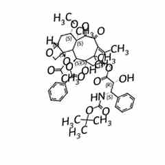 CO[C@H]1C[C@H]2OC[C@@]2(OC(C)=O)C2[C@H](OC(=O)c3ccccc3)[C@]3(O)C[C@H](OC(=O)[C@H](O)[C@@H](NC(=O)OC(C)(C)C)c4ccccc4)C(C)=C(C(=O)C(=O)[C@@]21C)C3(C)C